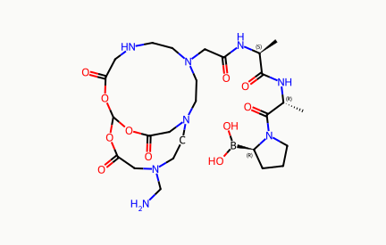 C[C@H](NC(=O)CN1CCNCC(=O)OC2OC(=O)CN(CN)CCN(CC1)CC(=O)O2)C(=O)N[C@H](C)C(=O)N1CCC[C@H]1B(O)O